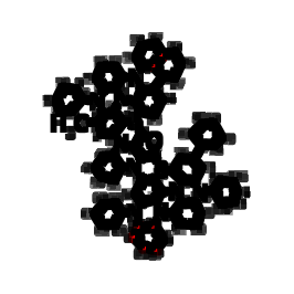 Cc1cc2c3c4c1N(c1ccccc1)c1cccc5c1N4c1c(ccc(-c4ccccc4)c1N5c1ccccc1)B3c1oc3c4c1N2c1ccccc1N4c1cc(N(c2ccccc2)c2ccccc2)c2c4c1B3c1cc(-c3ccccc3)cc3c1N4c1c(cccc1N2c1ccccc1)N3c1ccccc1